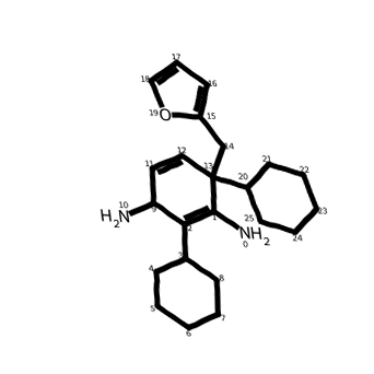 NC1=C(C2CCCCC2)C(N)C=CC1(Cc1ccco1)C1CCCCC1